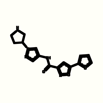 O=C(Nc1cnn(C2CCNC2)c1)c1cc(-c2ccco2)on1